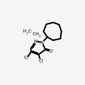 O=c1c(Cl)c(Cl)cnn1[C]1CCCCCCC1.[CH2].[CH2]